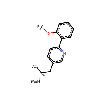 CN[C@@H](Cc1ccc(-c2ccccc2OC(F)(F)F)nc1)C(C)=O